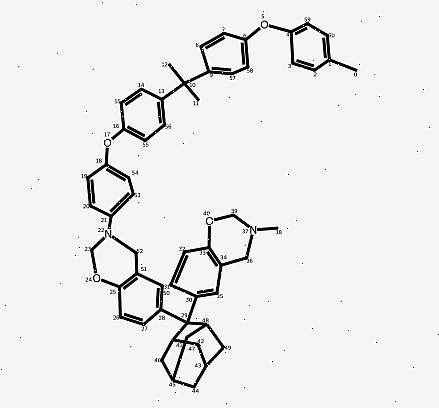 Cc1ccc(Oc2ccc(C(C)(C)c3ccc(Oc4ccc(N5COc6ccc(C7(c8ccc9c(c8)CN(C)CO9)C8CC9CC(C8)CC7C9)cc6C5)cc4)cc3)cc2)cc1